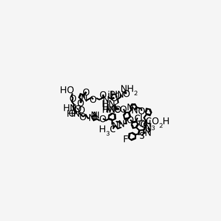 COc1ccccc1-c1nccc(COc2ccccc2C[C@@H](Oc2ncnc3sc(-c4ccc(F)cc4)c(-c4ccc(OCCN5CC[N+](C)(Cc6ccc(NC(=O)[C@H](CCCNC(N)=O)NC(=O)[C@@H](NC(=O)CCOCCN7C(=O)C=CC7=O)C(C)C)cc6COCc6cn(CCOC(=O)NS(=O)(=O)NCCOCCO)nn6)CC5)c(Cl)c4C)c23)C(=O)O)n1